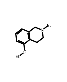 CCOc1cccc2c1CCN(CC)C2